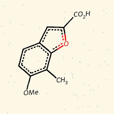 COc1ccc2cc(C(=O)O)oc2c1C